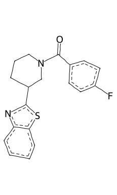 O=C(c1ccc(F)cc1)N1CCCC(c2nc3ccccc3s2)C1